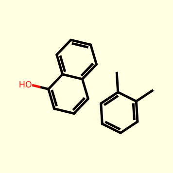 Cc1ccccc1C.Oc1cccc2ccccc12